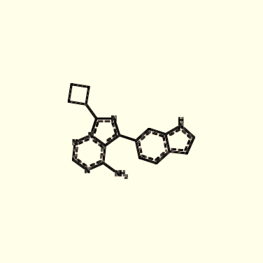 Nc1ncnn2c(C3CCC3)nc(-c3ccc4cc[nH]c4c3)c12